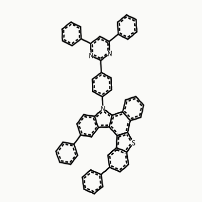 c1ccc(-c2ccc3sc4c5ccccc5c5c(c6cc(-c7ccccc7)ccc6n5-c5ccc(-c6nc(-c7ccccc7)cc(-c7ccccc7)n6)cc5)c4c3c2)cc1